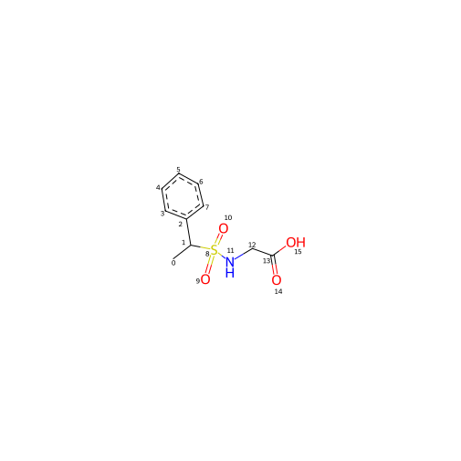 CC(c1ccccc1)S(=O)(=O)NCC(=O)O